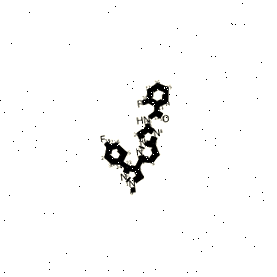 Cn1cc(-c2ccc3nc(NC(=O)c4ccccc4F)cn3n2)c(-c2ccc(F)cc2)n1